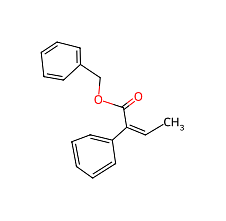 C/C=C(\C(=O)OCc1ccccc1)c1ccccc1